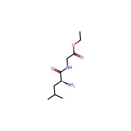 CCOC(=O)CNC(=O)[C@@H](N)CC(C)C